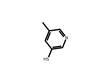 [CH2]c1cncc(S)c1